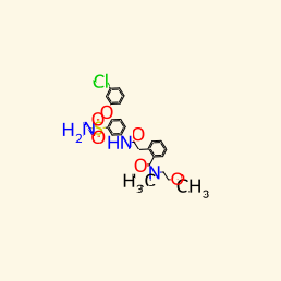 COCCN(C)C(=O)c1ccccc1CC(=O)Nc1ccc(Oc2cccc(Cl)c2)c(S(N)(=O)=O)c1